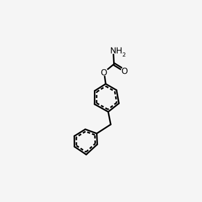 NC(=O)Oc1ccc(Cc2ccccc2)cc1